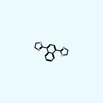 c1ccc2c(C3=NCCO3)ccc(C3=NCCO3)c2c1